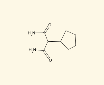 NC(=O)C(C(N)=O)C1CCCC1